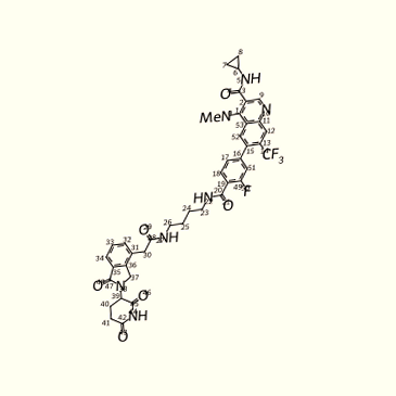 CNc1c(C(=O)NC2CC2)cnc2cc(C(F)(F)F)c(-c3ccc(C(=O)NCCCCNC(=O)Cc4cccc5c4CN(C4CCC(=O)NC4=O)C5=O)c(F)c3)cc12